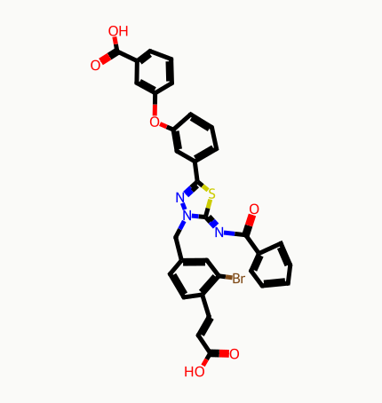 O=C(O)/C=C/c1ccc(Cn2nc(-c3cccc(Oc4cccc(C(=O)O)c4)c3)s/c2=N\C(=O)c2ccccc2)cc1Br